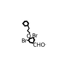 O=[C]c1cc(Br)c(OCCCc2ccccc2)c(Br)c1